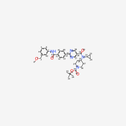 COCc1cccc(NC(=O)c2ccc(-c3ncc(C(=O)N(C4CC4)C4CCN(C(=O)OC(C)(C)C)CC4)cn3)cc2)c1